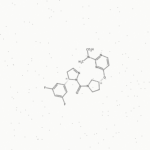 CN(C(=O)O)c1nccc(O[C@@H]2CCN(C(=O)N3N=CC[C@H]3c3cc(F)cc(F)c3)C2)n1